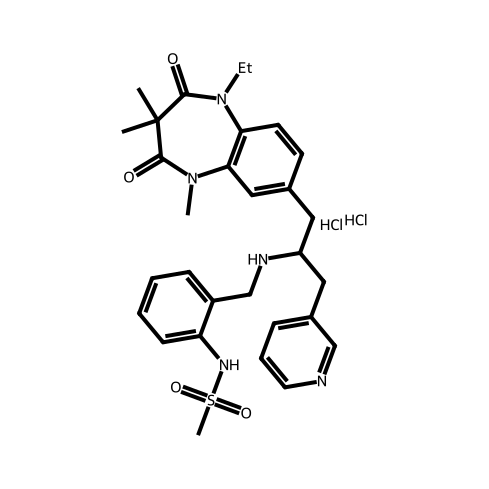 CCN1C(=O)C(C)(C)C(=O)N(C)c2cc(CC(Cc3cccnc3)NCc3ccccc3NS(C)(=O)=O)ccc21.Cl.Cl